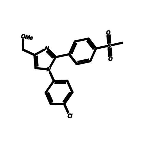 COCc1cn(-c2ccc(Cl)cc2)c(-c2ccc(S(C)(=O)=O)cc2)n1